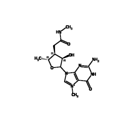 CNC(=O)C[C@@H]1[C@@H](C)OC(n2c[n+](C)c3c(=O)[nH]c(N)nc32)[C@@H]1O